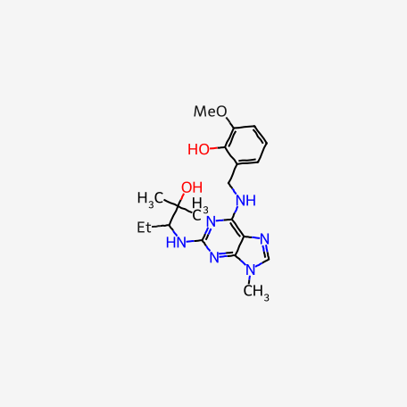 CCC(Nc1nc(NCc2cccc(OC)c2O)c2ncn(C)c2n1)C(C)(C)O